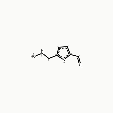 O=Cc1ccc(CNO)s1